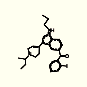 CCCNn1cc(C2=CCN(C(C)CC)CC2)c2cc(C(=O)c3ccccc3I)ccc21